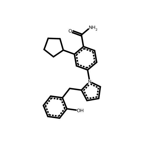 NC(=O)c1ccc(-n2cccc2Cc2ccccc2O)cc1C1CCCC1